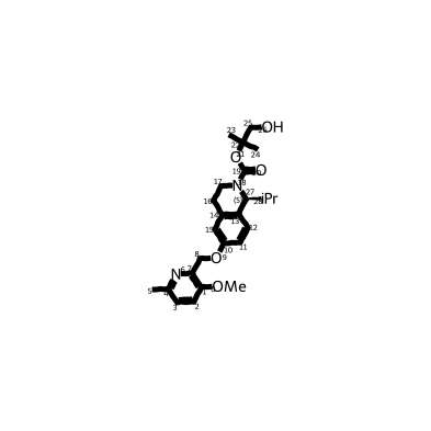 COc1ccc(C)nc1COc1ccc2c(c1)CCN(C(=O)OC(C)(C)CO)[C@H]2C(C)C